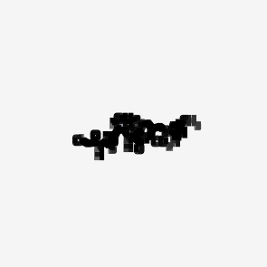 CO/N=C(\C(=O)NC1C(=O)N2C(C(=O)O)=C(CSN3CN(C)N=N3)CS[C@H]12)c1csc(NC(=O)CCl)n1